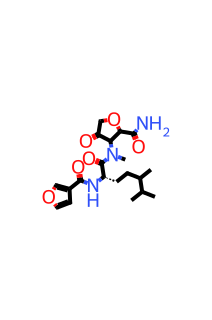 CC(C)C(C)CC[C@H](NC(=O)c1ccoc1)C(=O)N(C)C1C(=O)COC1C(N)=O